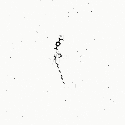 Cc1ncsc1-c1ccc(C(C)NC(=O)[C@@H]2C[C@@H](O)CN2C(=O)[C@@H](NC(=O)CCOCCOCCOCCC(=O)O)C(C)(C)C)cc1